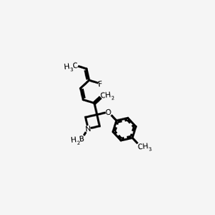 BN1CC(Oc2ccc(C)cc2)(C(=C)/C=C\C(F)=C/C)C1